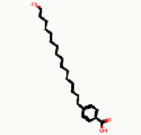 O=C(O)c1ccc(CCCCCCCCCCCCCCCCO)cc1